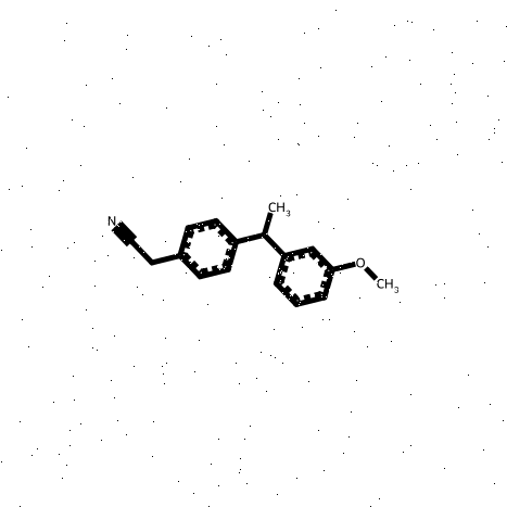 COc1cccc(C(C)c2ccc(CC#N)cc2)c1